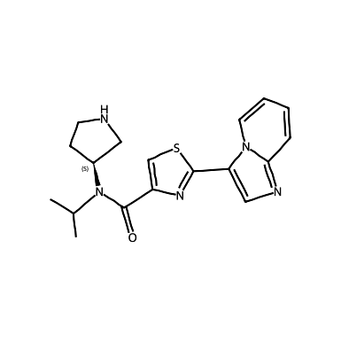 CC(C)N(C(=O)c1csc(-c2cnc3ccccn23)n1)[C@H]1CCNC1